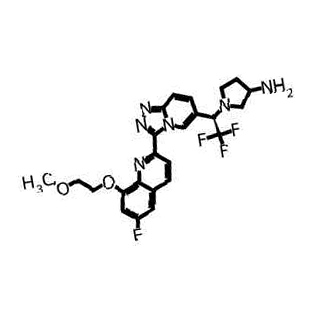 COCCOc1cc(F)cc2ccc(-c3nnc4ccc([C@@H](N5CCC(N)C5)C(F)(F)F)cn34)nc12